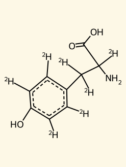 [2H]c1c([2H])c(C([2H])([2H])C([2H])(N)C(=O)O)c([2H])c([2H])c1O